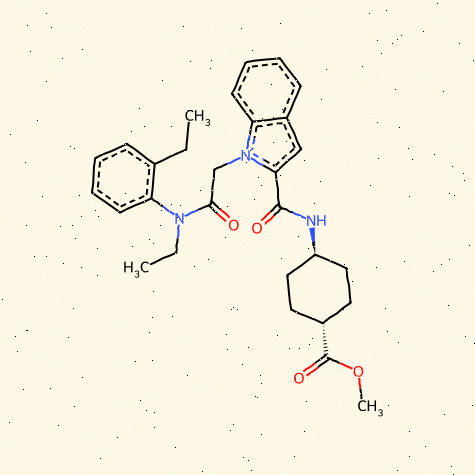 CCc1ccccc1N(CC)C(=O)Cn1c(C(=O)N[C@H]2CC[C@H](C(=O)OC)CC2)cc2ccccc21